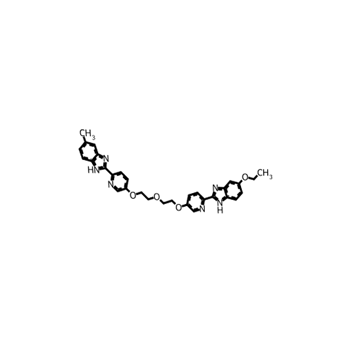 CCOc1ccc2[nH]c(-c3ccc(OCCOCCOc4ccc(-c5nc6cc(C)ccc6[nH]5)nc4)cn3)nc2c1